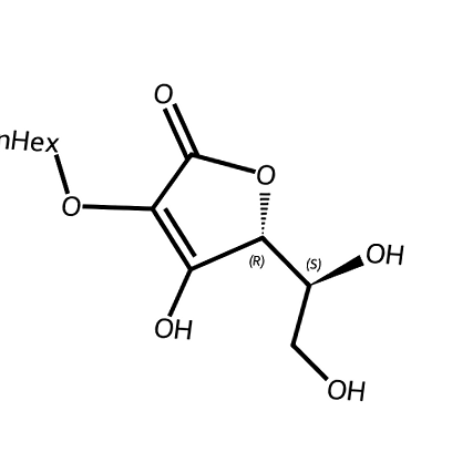 CCCCCCOC1=C(O)[C@@H]([C@@H](O)CO)OC1=O